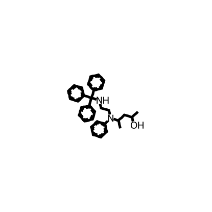 CC(O)CC(C)N(CCNC(c1ccccc1)(c1ccccc1)c1ccccc1)c1ccccc1